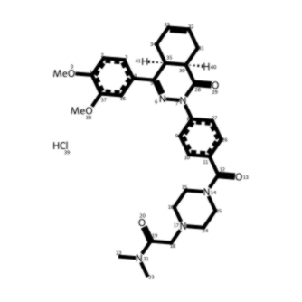 COc1ccc(C2=NN(c3ccc(C(=O)N4CCN(CC(=O)N(C)C)CC4)cc3)C(=O)[C@@H]3CC=CC[C@H]23)cc1OC.Cl